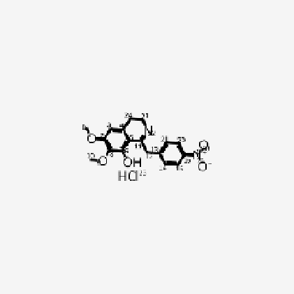 COc1cc2c(c(O)c1OC)C(Cc1ccc([N+](=O)[O-])cc1)=NCC2.Cl